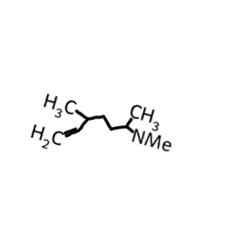 C=CC(C)CCC(C)NC